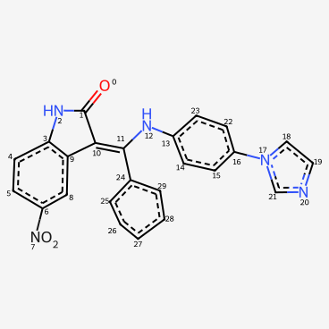 O=C1Nc2ccc([N+](=O)[O-])cc2C1=C(Nc1ccc(-n2ccnc2)cc1)c1ccccc1